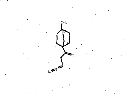 CC12CCC(C(=O)CC=[N+]=[N-])(CC1)CO2